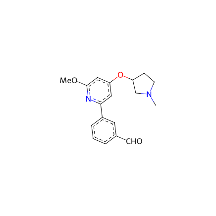 COc1cc(OC2CCN(C)C2)cc(-c2cccc(C=O)c2)n1